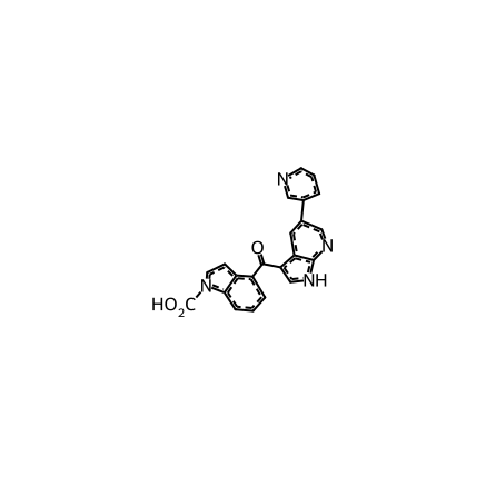 O=C(c1c[nH]c2ncc(-c3cccnc3)cc12)c1cccc2c1ccn2C(=O)O